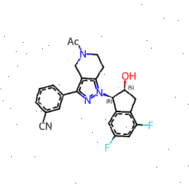 CC(=O)N1CCc2c(c(-c3cccc(C#N)c3)nn2[C@@H]2c3cc(F)cc(F)c3C[C@@H]2O)C1